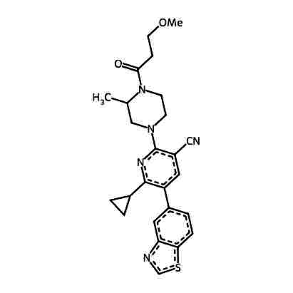 COCCC(=O)N1CCN(c2nc(C3CC3)c(-c3ccc4scnc4c3)cc2C#N)CC1C